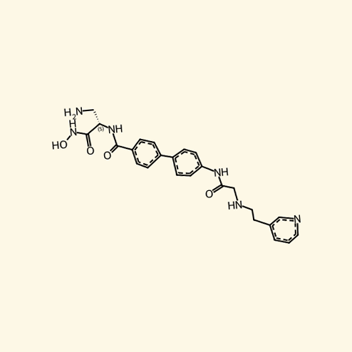 NC[C@H](NC(=O)c1ccc(-c2ccc(NC(=O)CNCCc3cccnc3)cc2)cc1)C(=O)NO